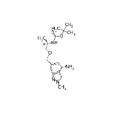 C[C@H](COCc1cc(N)c2cn(C)nc2c1)NC(=O)OC(C)(C)C